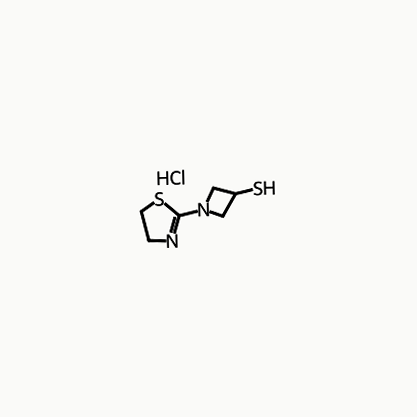 Cl.SC1CN(C2=NCCS2)C1